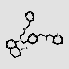 CN1CCCc2cccc(N(CCNCc3ccccn3)Cc3ccc(CNCc4ccccn4)cc3)c21